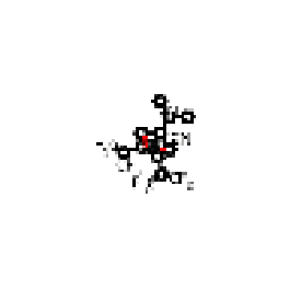 N#Cc1ccccc1-c1cc(-c2cc(-c3ccccc3)nc(-c3ccccc3)n2)cc(-c2ccccc2C#N)c1-n1c2ccc(-c3cc(C(F)(F)F)cc(C(F)(F)F)c3)cc2c2cc(-c3cc(C(F)(F)F)cc(C(F)(F)F)c3)ccc21